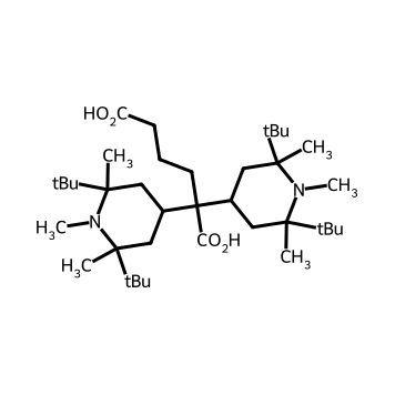 CN1C(C)(C(C)(C)C)CC(C(CCCC(=O)O)(C(=O)O)C2CC(C)(C(C)(C)C)N(C)C(C)(C(C)(C)C)C2)CC1(C)C(C)(C)C